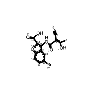 C/C(O)=C(\C#N)C(=O)Nc1c(C(=O)O)oc2ccc(Br)cc12